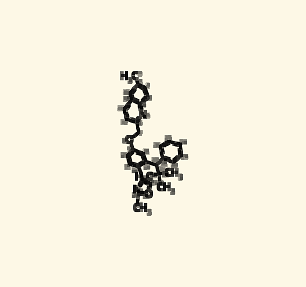 Cc1ccc2nc(COc3ccc(-c4coc(C)n4)c(C(c4ccccc4)C(C)(C)C)c3)ccc2c1